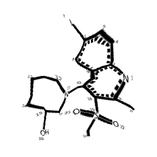 Cc1nc2ccc(I)cc2c(N2CCCC(O)C2)c1S(C)(=O)=O